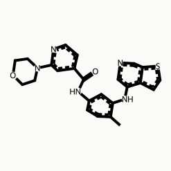 Cc1ccc(NC(=O)c2ccnc(N3CCOCC3)c2)cc1Nc1cncc2sccc12